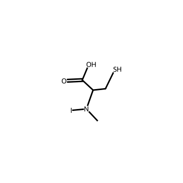 CN(I)C(CS)C(=O)O